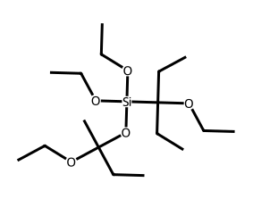 CCOC(C)(CC)O[Si](OCC)(OCC)C(CC)(CC)OCC